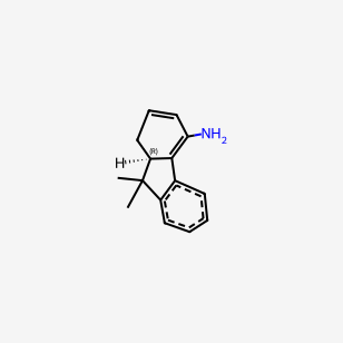 CC1(C)c2ccccc2C2=C(N)C=CC[C@@H]21